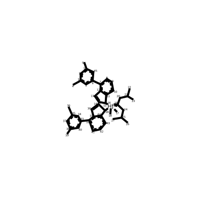 Cc1cc(C)cc(-c2cccc3c2C=C[CH]3[Hf]([CH3])([CH3])(=[C](CC(C)C)CC(C)C)[CH]2C=Cc3c(-c4cc(C)cc(C)c4)cccc32)c1